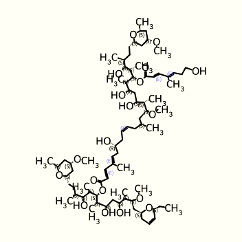 CC[C@H]1C=CC[C@@H](C[C@H](OC)[C@@H](C)[C@@H](O)C[C@@H](O)[C@H](C)[C@H](OC(=O)/C=C/C(C)=C/C[C@H](O)C/C=C\C[C@H](C)C[C@H](OC)[C@@H](C)[C@@H](O)C[C@@H](O)[C@H](C)[C@H](OC(=O)/C=C/C(C)=C/CCO)[C@@H](C)[C@@H](O)[C@@H](C)CC[C@H]2C[C@@H](OC)C[C@H](C)O2)[C@@H](C)[C@@H](O)[C@@H](C)CC[C@H]2C[C@@H](OC)C[C@H](C)O2)O1